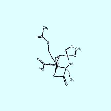 COC1(CCl)N[C@@]2(OC)C(=O)N3C(C(=O)O)=C(COC(C)=O)C1S[C@H]32